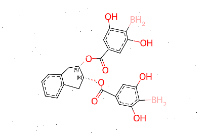 Bc1c(O)cc(C(=O)O[C@H]2Cc3ccccc3C[C@H]2OC(=O)c2cc(O)c(B)c(O)c2)cc1O